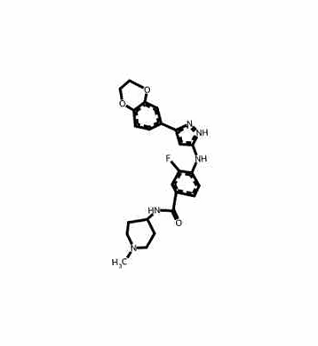 CN1CCC(NC(=O)c2ccc(Nc3cc(-c4ccc5c(c4)OCCO5)n[nH]3)c(F)c2)CC1